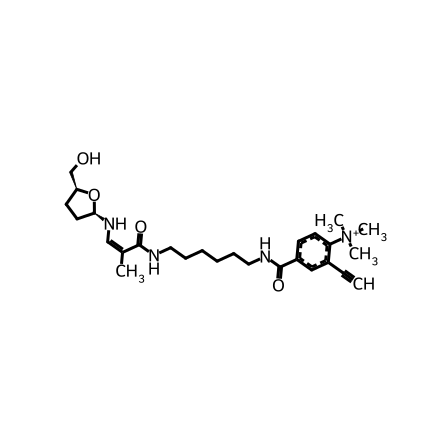 C#Cc1cc(C(=O)NCCCCCCNC(=O)/C(C)=C\N[C@H]2CC[C@@H](CO)O2)ccc1[N+](C)(C)C